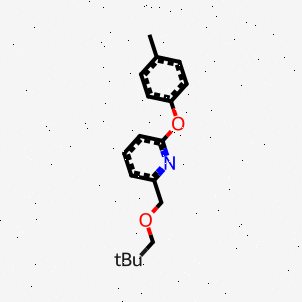 Cc1ccc(Oc2cccc(COCC(C)(C)C)n2)cc1